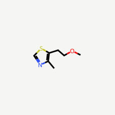 COCCc1scnc1C